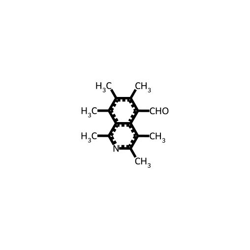 Cc1nc(C)c2c(C)c(C)c(C)c(C=O)c2c1C